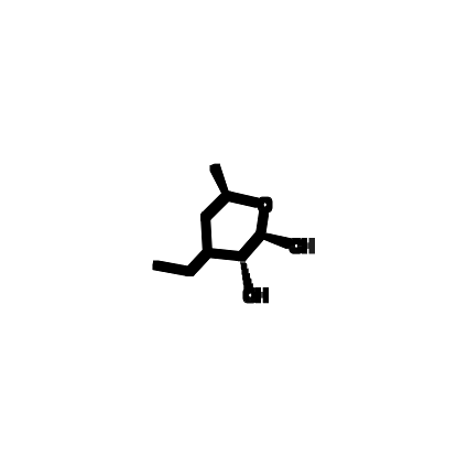 CCC1C[C@@H](C)O[C@@H](O)[C@@H]1O